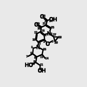 COc1c(N2CC(C)C(C(O)CO)C(C)C2)ccc2c(=O)c(C(=O)O)cn(C3CC3)c12